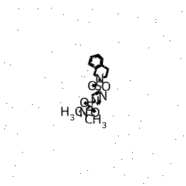 CN(C)S(=O)(=O)n1cnc(S(=O)(=O)N2CCc3ccccc3C2)c1